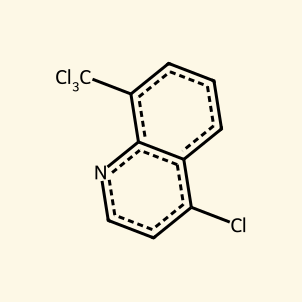 Clc1ccnc2c(C(Cl)(Cl)Cl)cccc12